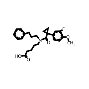 COc1ccc(C2(C(=O)N(CCCCC(=O)O)CCCc3ccccc3)CC2)cc1F